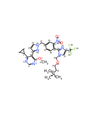 COc1ncnc(C2CC2)c1-c1ccn(Cc2ccc(-c3nc(C(F)(F)F)cn3COCC[Si](C)(C)C)c([N+](=O)[O-])c2)n1